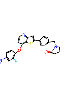 O=C1CCCN1Cc1ccc(-c2cc3nccc(Oc4ccc([N+](=O)[O-])cc4F)c3s2)cc1